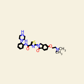 CN(C)CCOc1ccc2c(c1)CN(c1nc(C(=O)Nc3ccccc3N3CCNCC3)cs1)C2=O